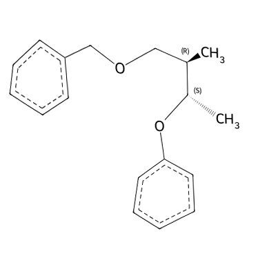 C[C@H](COCc1ccccc1)[C@H](C)Oc1ccccc1